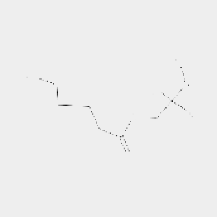 CCCCCCCCCCCC(=O)OCC(C)(C)NCl